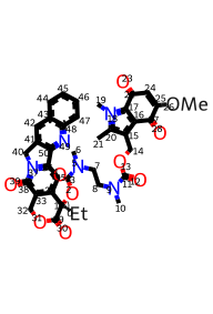 CC[C@@]1(OC(=O)N(C)CCN(C)C(=O)OCc2c3c(n(C)c2C)C(=O)C=C(OC)C3=O)C(=O)OCc2c1cc1n(c2=O)Cc2cc3ccccc3nc2-1